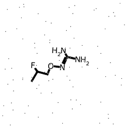 CC(F)CON=C(N)N